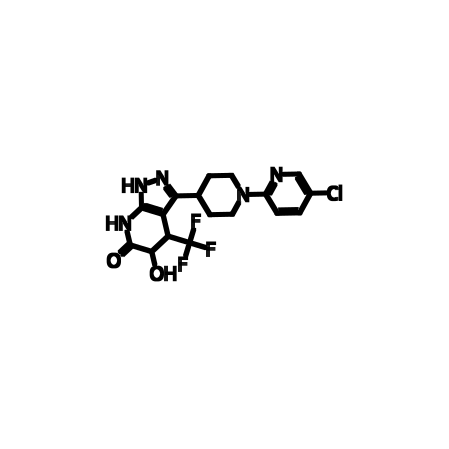 O=C1Nc2[nH]nc(C3CCN(c4ccc(Cl)cn4)CC3)c2C(C(F)(F)F)C1O